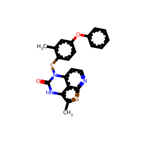 Cc1cc(Oc2ccccc2)ccc1SN1C(=O)Nc2c(C)sc3nccc1c23